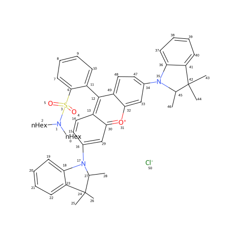 CCCCCCN(CCCCCC)S(=O)(=O)c1ccccc1-c1c2ccc(N3c4ccccc4C(C)(C)C3C)cc2[o+]c2cc(N3c4ccccc4C(C)(C)C3C)ccc12.[Cl-]